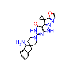 N[C@@H]1c2ccccc2CC12CCN(c1nc3[nH]nc(C4(c5ncco5)CC4)c3c(=O)[nH]1)CC2